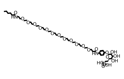 CCCCCC(=O)NCCOCCOCCOCCOCCOCCOCCOCCOCCOCCOCCOCCOCCC(=O)Nc1ccc(O[C@H]2O[C@H](CCP(=O)(O)O)[C@@H](O)[C@H](O)[C@@H]2O)cc1